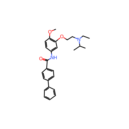 CCN(CCOc1cc(NC(=O)c2ccc(-c3ccccc3)cc2)ccc1OC)C(C)C